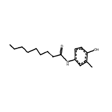 CCCCCCCCC(=O)Nc1ccc(O)c(C)c1